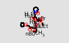 CCCCC(=O)C(C)CC(CCC(=O)CCOc1ccccc1)C(=O)OCCOC(=O)C(C)(CCC(C)(CCC)C(=O)OCC(CC)CCCC)CC(C)N1CCCCCC1=O